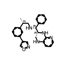 C[C@H](CN[C@H](c1ccccc1)[C@H]1CNc2cccnc2N1)c1cccc(-c2cnoc2)c1